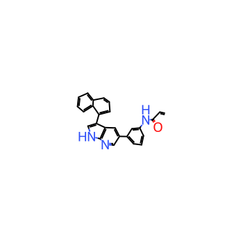 C=CC(=O)Nc1cccc(-c2cnc3[nH]cc(-c4cccc5ccccc45)c3c2)c1